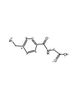 O=C(O)CNC(=O)c1ccc(CBr)cc1